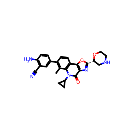 Cc1c(-c2ccc(N)c(C#N)c2)ccc2c3oc([C@H]4CNCCO4)nc3c(=O)n(C3CC3)c12